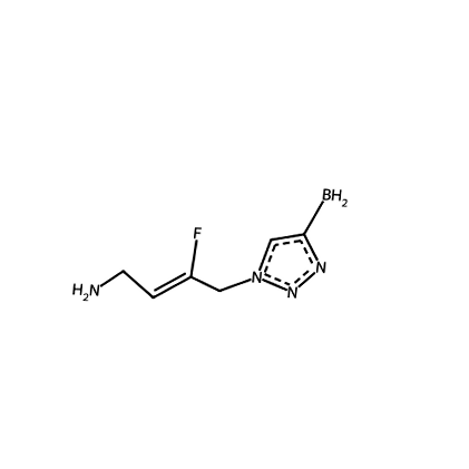 Bc1cn(C/C(F)=C/CN)nn1